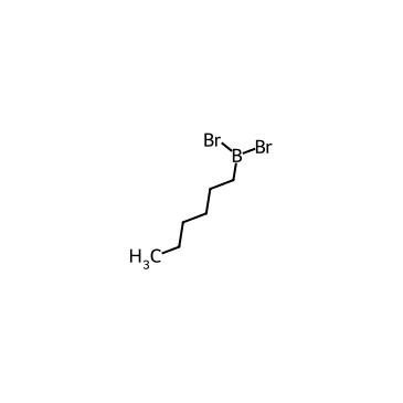 CCCCCCB(Br)Br